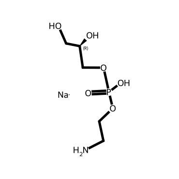 NCCOP(=O)(O)OC[C@H](O)CO.[Na]